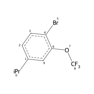 [CH2]C(C)c1ccc(Br)c(OC(F)(F)F)c1